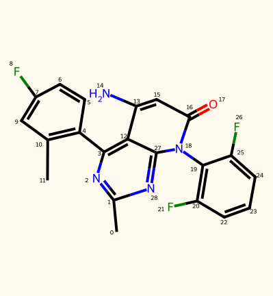 Cc1nc(-c2ccc(F)cc2C)c2c(N)cc(=O)n(-c3c(F)cccc3F)c2n1